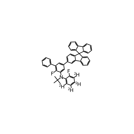 [2H]c1c([2H])c([2H])c(N(c2cc(-c3ccc4c(c3)-c3ccccc3C43c4ccccc4-c4ccccc43)cc(-c3ccccc3)c2F)C(C)(C)C)c(F)c1[2H]